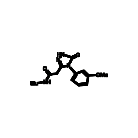 COc1cccc(-n2c(CC(=O)NC(C)(C)C)n[nH]c2=O)c1